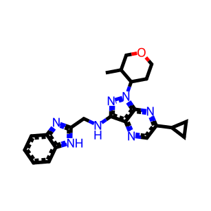 CC1COCCC1n1nc(NCc2nc3ccccc3[nH]2)c2ncc(C3CC3)nc21